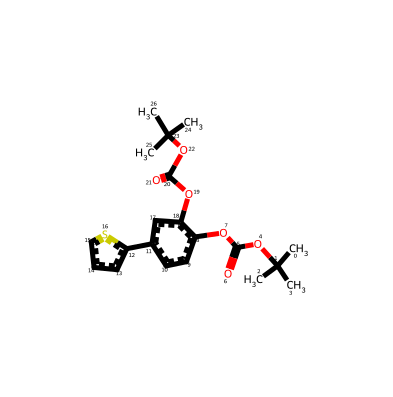 CC(C)(C)OC(=O)Oc1ccc(-c2cccs2)cc1OC(=O)OC(C)(C)C